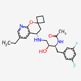 CCc1cnc2c(c1)[C@@H](NC[C@H](O)[C@H](Cc1cc(F)cc(F)c1)NC(C)=O)CC1(CCC1)O2